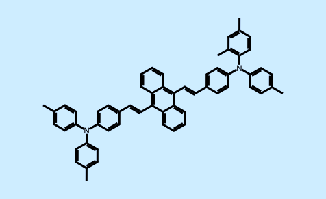 Cc1ccc(N(c2ccc(C)cc2)c2ccc(C=Cc3c4ccccc4c(C=Cc4ccc(N(c5ccc(C)cc5)c5ccc(C)cc5C)cc4)c4ccccc34)cc2)cc1